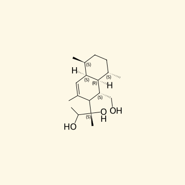 CC1=C[C@@H]2[C@H]([C@H](CO)C1[C@](C)(O)C(C)O)[C@@H](C)CC[C@@H]2C